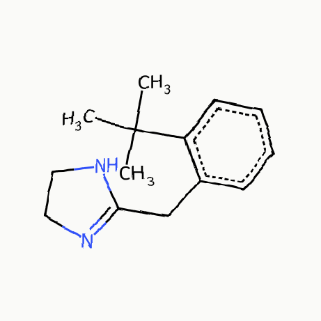 CC(C)(C)c1ccccc1CC1=NCCN1